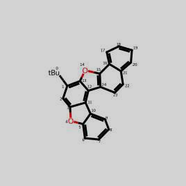 CC(C)(C)c1cc2oc3ccccc3c2c2c1oc1c3ccccc3ccc12